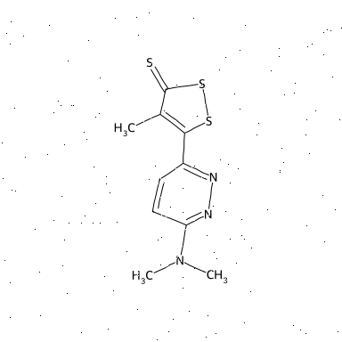 Cc1c(-c2ccc(N(C)C)nn2)ssc1=S